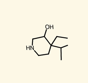 CCC1(C(C)C)CCNCC1O